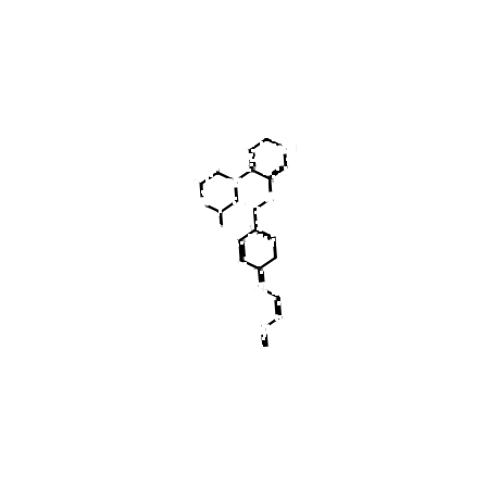 C=N/C=C\N=C1\C=CC(CNC2=CNCC=C2N2CCNC(C(F)(F)F)C2)=CC1